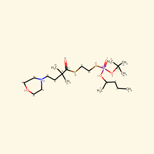 CCCC(C)OP(=O)(OC(C)(C)C)SCCSC(=O)C(C)(C)CCN1CCOCC1